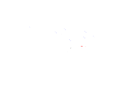 C[C@@H](N1CCn2cc(-c3cccc(C#N)c3)nc2C1)[C@](O)(Cn1cncn1)c1ccc(F)cc1F